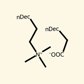 CCCCCCCCCCCC(=O)[O-].CCCCCCCCCCCC[N+](C)(C)C